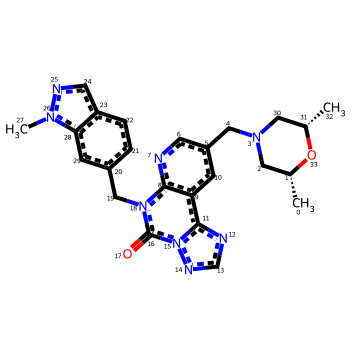 C[C@@H]1CN(Cc2cnc3c(c2)c2ncnn2c(=O)n3Cc2ccc3cnn(C)c3c2)C[C@H](C)O1